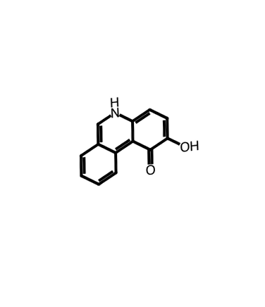 O=c1c(O)ccc2[nH]cc3ccccc3c1-2